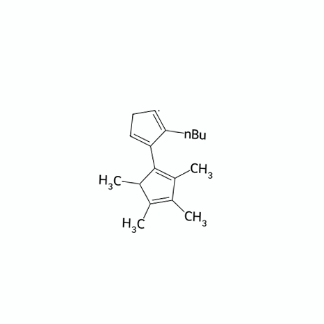 CCCCC1=[C]CC=C1C1=C(C)C(C)=C(C)C1C